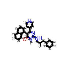 CC(CNc1nc(-c2ccncc2)c(-c2cccc3ccccc23)c(=O)n1C)Cc1ccccc1